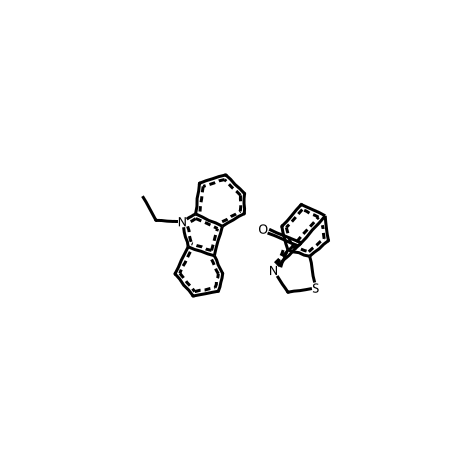 CCn1c2ccccc2c2ccccc21.O=c1c2ccc3c(c2)SCn13